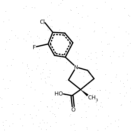 C[C@]1(C(=O)O)CCN(c2ccc(Cl)c(F)c2)C1